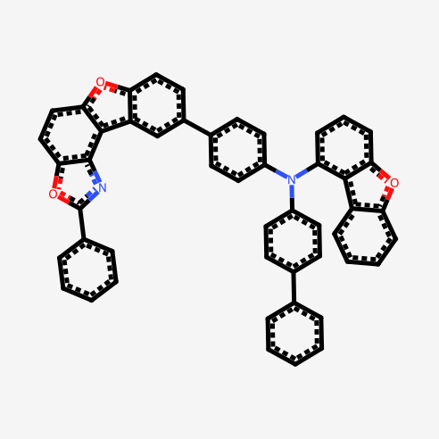 c1ccc(-c2ccc(N(c3ccc(-c4ccc5oc6ccc7oc(-c8ccccc8)nc7c6c5c4)cc3)c3cccc4oc5ccccc5c34)cc2)cc1